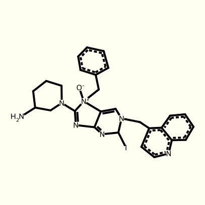 NC1CCCN(C2=NC3=NC(I)N(Cc4ccnc5ccccc45)C=C3[N+]2([O-])Cc2ccccc2)C1